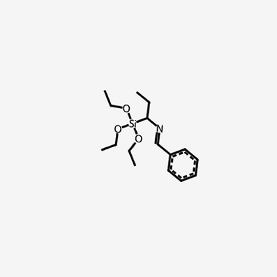 CCO[Si](OCC)(OCC)C(CC)N=Cc1ccccc1